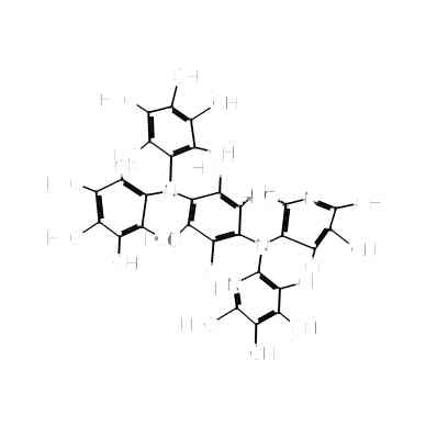 Cc1nc(N(c2c(C)nc(C)c(C)c2C)c2c(C)c(C)c(N(c3c(C)c(C)c(C)c(C)c3C)c3c(C)c(C)c(C)c(C)c3C)c(C)c2C)c(C)c(C)c1C